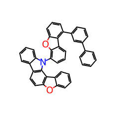 c1ccc(-c2cccc(-c3cccc4oc5c(-n6c7ccccc7c7ccc8oc9ccccc9c8c76)cccc5c34)c2)cc1